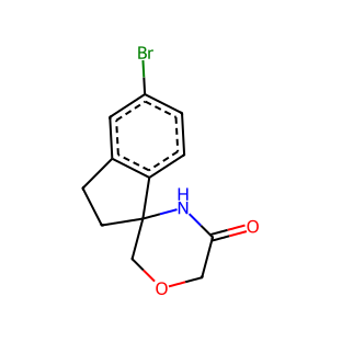 O=C1COCC2(CCc3cc(Br)ccc32)N1